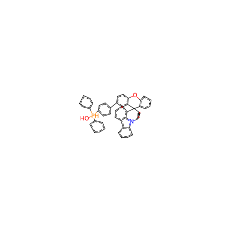 O[PH](c1ccccc1)(c1ccccc1)c1ccc(-c2ccc3c(c2)C2(c4ccccc4O3)c3ccccc3-n3c4ccccc4c4cccc2c43)cc1